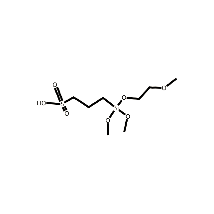 COCCO[Si](CCCS(=O)(=O)O)(OC)OC